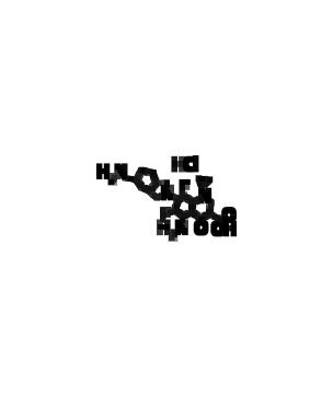 Cl.NCc1ccc2c(c1)CN(c1c(F)c(N)c3c(=O)c(C(=O)O)cn(C4CC4)c3c1F)C2